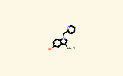 O=C(O)c1cn(Cc2ccccn2)c2ccc(O)cc12